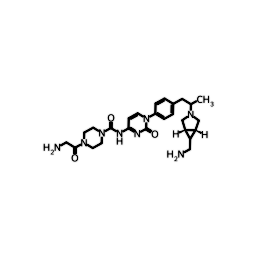 CC(Cc1ccc(-n2ccc(NC(=O)N3CCN(C(=O)CN)CC3)nc2=O)cc1)N1C[C@@H]2C(CN)[C@@H]2C1